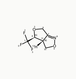 FC(F)(F)[C@H]1OCC2=NOC[C@@H]21